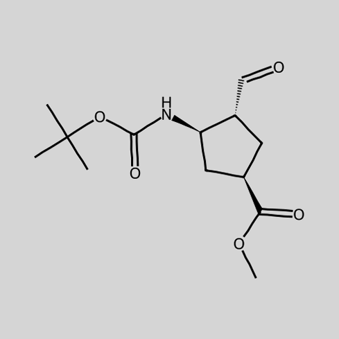 COC(=O)[C@@H]1C[C@@H](C=O)[C@H](NC(=O)OC(C)(C)C)C1